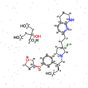 O=C(O)CC(O)(CC(=O)O)C(=O)O.O=C(O)C[C@H](CN1CC[C@@](F)(CCc2ccc3c(n2)NCCC3)C1)c1cccc(O[C@H]2CCOC2)c1